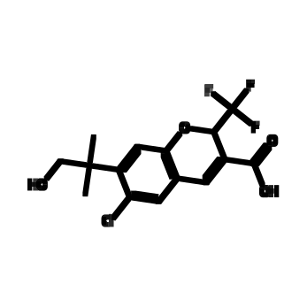 CC(C)(CO)c1cc2c(cc1Cl)C=C(C(=O)O)C(C(F)(F)F)O2